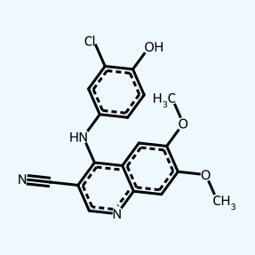 COc1cc2ncc(C#N)c(Nc3ccc(O)c(Cl)c3)c2cc1OC